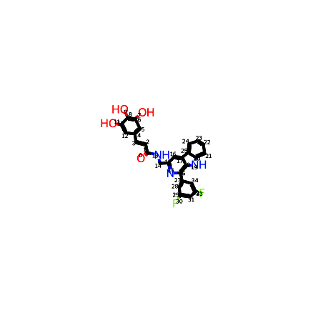 O=C(/C=C/c1cc(O)c(O)c(O)c1)NCc1cc2c([nH]c3ccccc32)c(-c2cc(F)cc(F)c2)n1